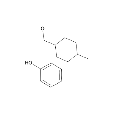 CC1CCC(C[O])CC1.Oc1ccccc1